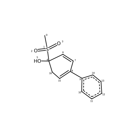 CS(=O)(=O)C1(O)C=CC(c2ccccc2)=CC1